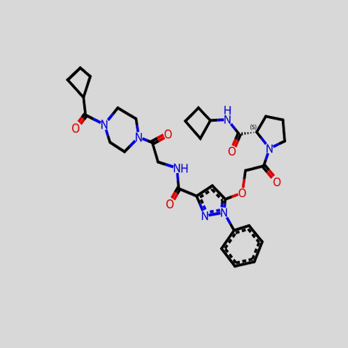 O=C(NCC(=O)N1CCN(C(=O)C2CCC2)CC1)c1cc(OCC(=O)N2CCC[C@H]2C(=O)NC2CCC2)n(-c2ccccc2)n1